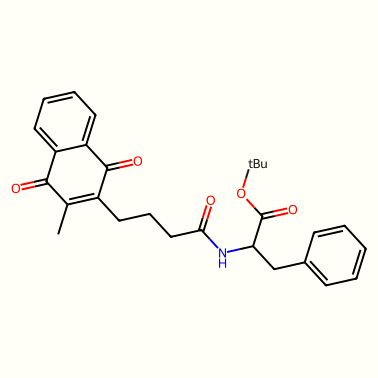 CC1=C(CCCC(=O)NC(Cc2ccccc2)C(=O)OC(C)(C)C)C(=O)c2ccccc2C1=O